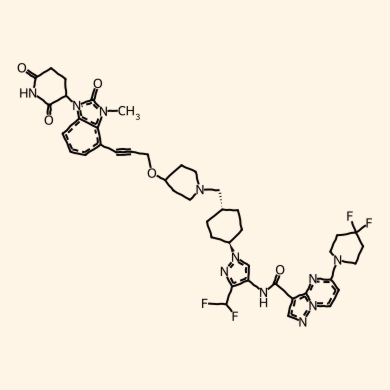 Cn1c(=O)n(C2CCC(=O)NC2=O)c2cccc(C#CCOC3CCN(C[C@H]4CC[C@H](n5cc(NC(=O)c6cnn7ccc(N8CCC(F)(F)CC8)nc67)c(C(F)F)n5)CC4)CC3)c21